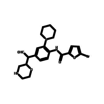 O=CC(c1ccc(NC(=O)c2ccc(Br)o2)c(N2CCCCC2)c1)C1CNCCO1